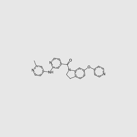 Cc1cc(Nc2cc(C(=O)N3CCc4ccc(Oc5ccncc5)cc43)ccn2)ccn1